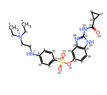 CCN(CC)CCNc1ccc(S(=O)(=O)Oc2ccc3[nH]c(NC(=O)C4CC4)nc3c2)cc1